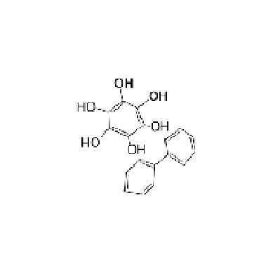 Oc1c(O)c(O)c(O)c(O)c1O.c1ccc(-c2ccccc2)cc1